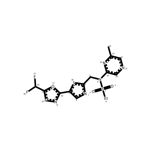 CCS(=O)(=O)N(Cc1ncc(-c2nnc(C(F)F)o2)s1)c1cncc(C)n1